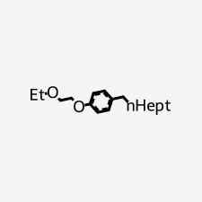 CCCCCCCCc1ccc(OCCOCC)cc1